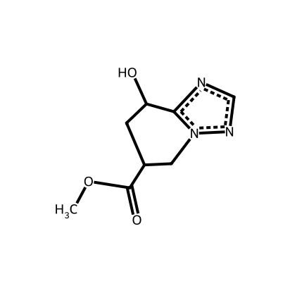 COC(=O)C1CC(O)c2ncnn2C1